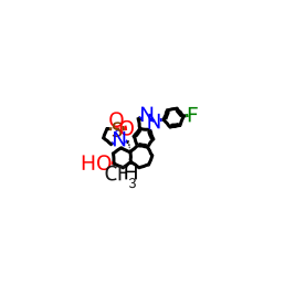 O=S1(=O)CCCN1C[C@@]12CC[C@](O)(C(F)(F)F)C[C@H]1CCCc1cc3c(cnn3-c3ccc(F)cc3)cc12